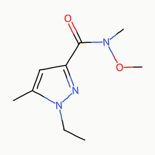 CCn1nc(C(=O)N(C)OC)cc1C